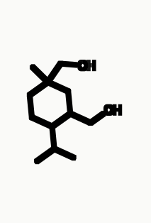 CC(C)C1CCC(C)(CO)CC1CO